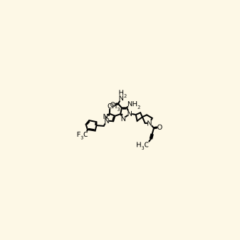 CC#CC(=O)N1CCC2(CC(n3nc(-c4cn(Cc5cccc(C(F)(F)F)c5)nc4C)c(C(N)=O)c3N)C2)C1